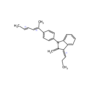 C=c1/c(=C\CC)c2ccccc2n1-c1ccc(/C(C)=C/C=C/C)cc1